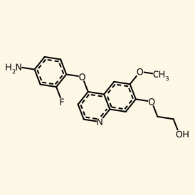 COc1cc2c(Oc3ccc(N)cc3F)ccnc2cc1OCCO